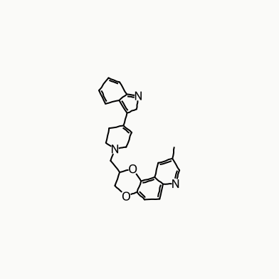 Cc1cnc2ccc3c(c2c1)OC(CN1CC=C(C2=c4ccccc4=NC2)CC1)CO3